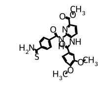 COC(=O)c1ccc(NC(=O)c2ccc(OC)c(OC)c2)c(NC(=O)c2ccc(C(N)=S)cc2)n1